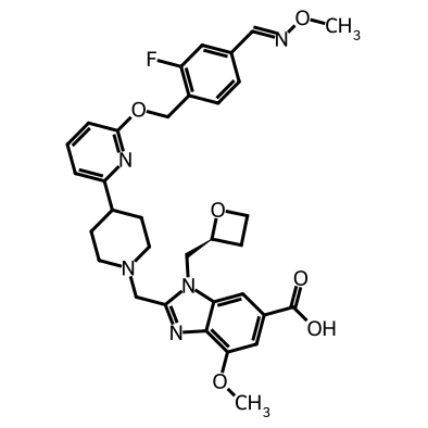 CON=Cc1ccc(COc2cccc(C3CCN(Cc4nc5c(OC)cc(C(=O)O)cc5n4C[C@@H]4CCO4)CC3)n2)c(F)c1